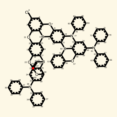 Clc1cc2c3c(c1)Oc1cc4c(cc1B3c1cc3c(cc1O2)Oc1cc(N(c2ccccc2)c2ccccc2)cc2c1B3c1ccccc1O2)B1c2ccccc2Oc2cc(N(c3ccccc3)c3ccccc3)cc(c21)N4c1ccccc1